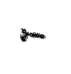 Cc1ccc(-n2nc(C3CCN(S(=O)(=O)c4ccc(N5CCOCC5)nc4)CC3)cc2NC(=O)c2cnn3cccnc23)cc1